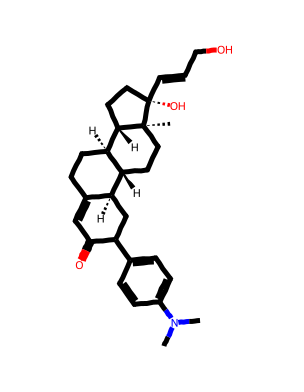 CN(C)c1ccc(C2C[C@H]3C(=CC2=O)CC[C@@H]2[C@@H]3CC[C@@]3(C)[C@H]2CC[C@@]3(O)C=CCO)cc1